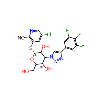 N#Cc1ncc(Cl)cc1S[C@H]1OC(CO)[C@H](O)C(n2cc(-c3cc(F)c(F)c(F)c3)nn2)C1O